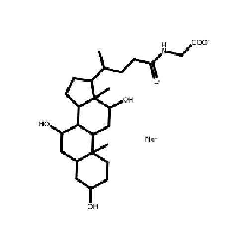 CC(CCC(=O)NCC(=O)[O-])C1CCC2C3C(O)CC4CC(O)CCC4(C)C3CC(O)C12C.[Na+]